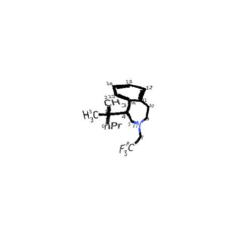 CCCC(C)(C)C1CN(CC(F)(F)F)CCc2ccccc21